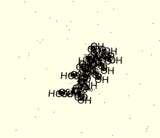 CC(=O)NC1C(OC2OCC(OSOOO)CC2OS(=O)(=O)O)CCOC1OC1COC(OC2C(OSOOO)COC(OC(COS(=O)(=O)O)C(OSOOO)C(COS(=O)(=O)O)OS(=O)(=O)O)C2NC(C)=O)C(OS(=O)(=O)O)C1OSOOO